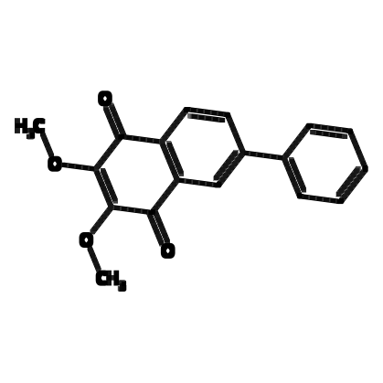 COC1=C(OC)C(=O)c2cc(-c3ccccc3)ccc2C1=O